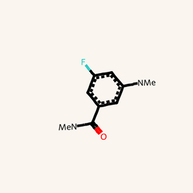 CNC(=O)c1cc(F)cc(NC)c1